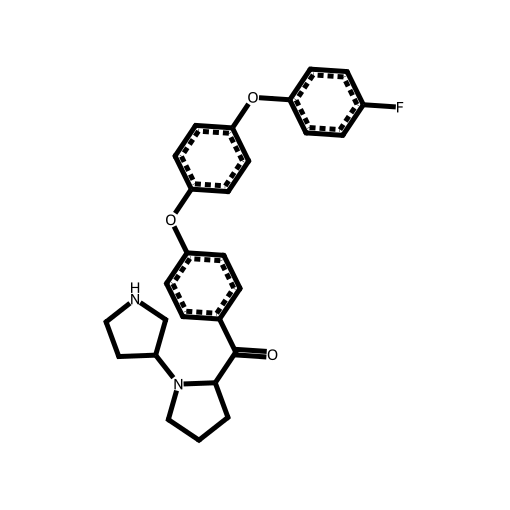 O=C(c1ccc(Oc2ccc(Oc3ccc(F)cc3)cc2)cc1)C1CCCN1C1CCNC1